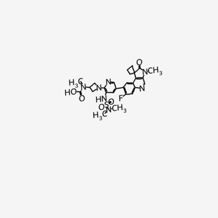 CN1C(=O)C2(CCC2)c2c1cnc1cc(F)c(-c3cnc(N4CC(N(C)C(=O)O)C4)c(NS(=O)(=O)N(C)C)c3)cc21